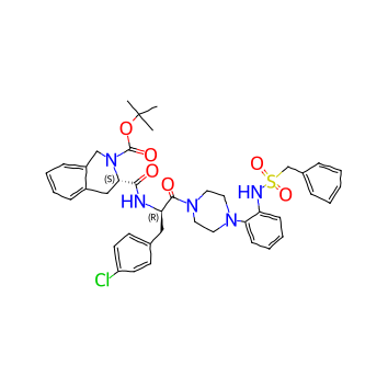 CC(C)(C)OC(=O)N1Cc2ccccc2C[C@H]1C(=O)N[C@H](Cc1ccc(Cl)cc1)C(=O)N1CCN(c2ccccc2NS(=O)(=O)Cc2ccccc2)CC1